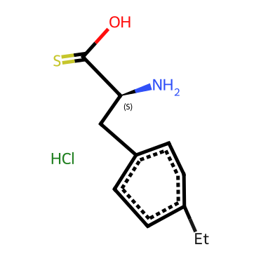 CCc1ccc(C[C@H](N)C(O)=S)cc1.Cl